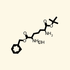 CC(C)(C)OC(=O)[C@@H](N)CCCC(N)C(=O)OCc1ccccc1.Cl